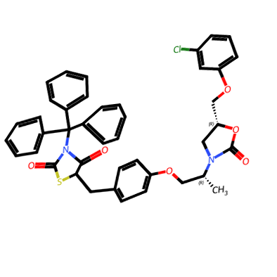 C[C@H](COc1ccc(CC2SC(=O)N(C(c3ccccc3)(c3ccccc3)c3ccccc3)C2=O)cc1)N1C[C@H](COc2cccc(Cl)c2)OC1=O